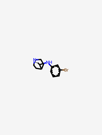 Brc1cccc(NC2CN3CCC2CC3)c1